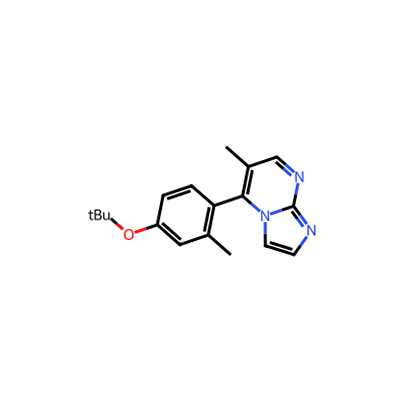 Cc1cc(OC(C)(C)C)ccc1-c1c(C)cnc2nccn12